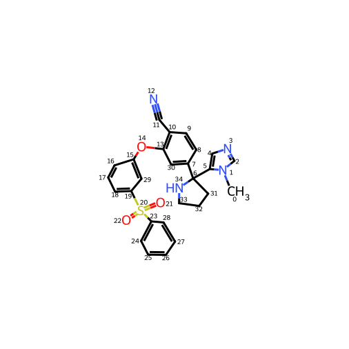 Cn1cncc1C1(c2ccc(C#N)c(Oc3cccc(S(=O)(=O)c4ccccc4)c3)c2)CCCN1